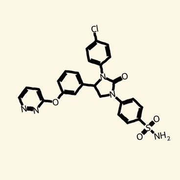 NS(=O)(=O)c1ccc(N2CC(c3cccc(Oc4cccnn4)c3)N(c3ccc(Cl)cc3)C2=O)cc1